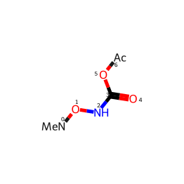 CNONC(=O)OC(C)=O